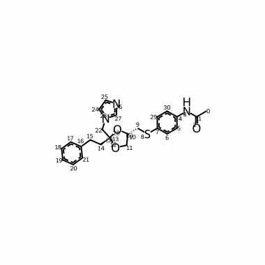 CC(=O)Nc1ccc(SC[C@@H]2CO[C@](CCc3ccccc3)(Cn3ccnc3)O2)cc1